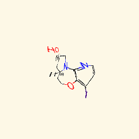 O[C@H]1C[C@H]2CCOc3c(I)ccnc3N2C1